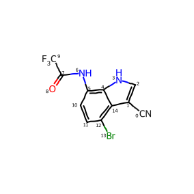 N#Cc1c[nH]c2c(NC(=O)C(F)(F)F)ccc(Br)c12